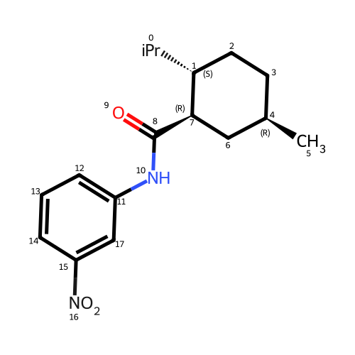 CC(C)[C@@H]1CC[C@@H](C)C[C@H]1C(=O)Nc1cccc([N+](=O)[O-])c1